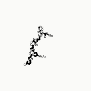 CNC(=O)[C@H](CCCCN/C(=N\C(=O)OC(C)(C)C)NC(=O)OC(C)(C)C)NC(=O)c1csc([C@H]2C[C@@H](NC(C)=O)CN2C(=O)c2cn3cc(Cl)ccc3n2)n1